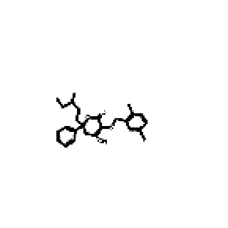 CCC(C)CCC1(c2ccccc2)CC(O)=C(SCc2cc(C)ccc2C)C(=O)O1